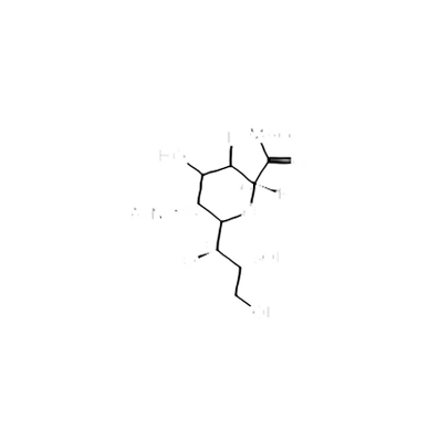 COC(=O)[C@]1(F)OC([C@H](O)[C@H](O)CO)[C@H](NC(C)=O)C(O)C1F